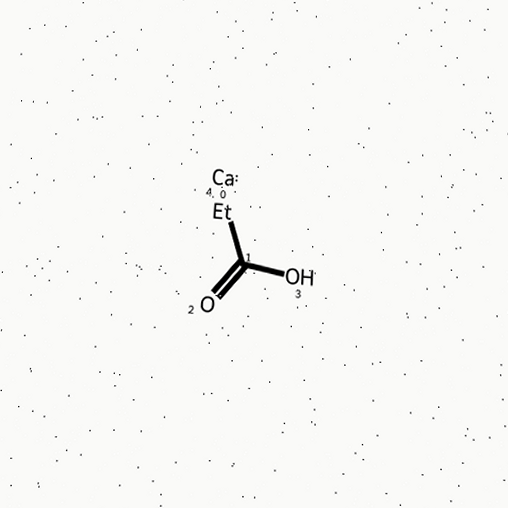 CCC(=O)O.[Ca]